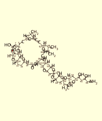 C=C1C[C@@H]2CC[C@]34CC(O)C(O3)[C@@H]3O[C@H]5CC[C@H](CC(=O)O[C@@H]6CC7OC8C[C@]9(C[C@@H]%10O[C@@]%11(CC[C@@H]%10O9)C[C@H](C)[C@@H]9O[C@H]([C@@H](O)C[C@@H](O)CN)C[C@@H]9O%11)O[C@@H]8C[C@@H]7O[C@H]6C[C@H]6O[C@@H](CC[C@@H]1O2)C[C@@H](C)C6=C)O[C@@H]5[C@H](O4)[C@@H]3I